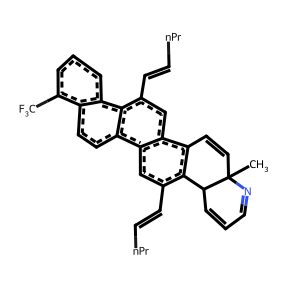 CCC/C=C/c1cc2c(cc(/C=C/CCC)c3c4cccc(C(F)(F)F)c4ccc23)c2c1C1C=CC=NC1(C)C=C2